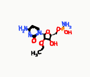 CCO[C@@H]1[C@H](O)[C@@H](COP(N)O)O[C@H]1n1ccc(N)nc1=O